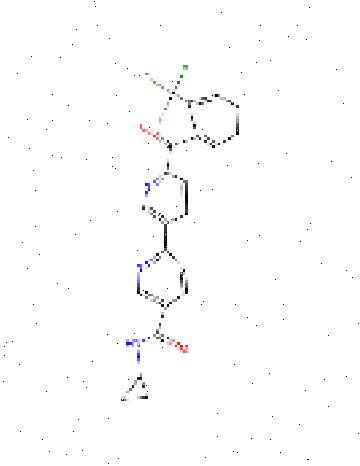 O=C(NC1CC1)c1ccc(-c2ccc(C(=O)c3ccccc3C(F)(F)F)nc2)nc1